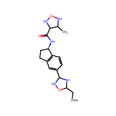 COCC1NC(c2ccc3c(c2)CC[C@H]3NC(=O)C2NONC2C)NO1